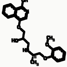 COc1ccccc1OC[C@H](C)NCC(O)COc1cnc(O)c2ccccc12